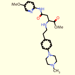 COC(=O)C(CC(=O)Nc1ccc(OC)cn1)NCCc1ccc(N2CCN(C)CC2)cc1